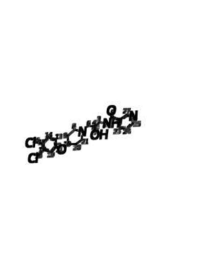 O=C(NC[C@@H](O)CN1CCC(Oc2ccc(Cl)c(Cl)c2)CC1)c1cccnc1